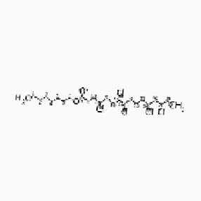 CCCCCCCCOC(=O)CCC(Cl)CCC(Cl)C(Cl)CCCC(Cl)CC(Cl)CC